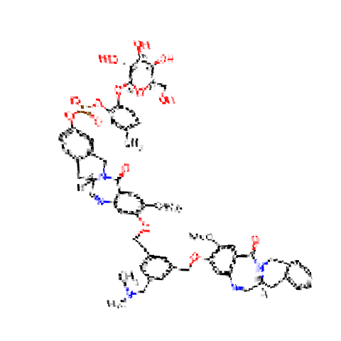 COc1cc2c(cc1OCc1cc(COc3cc4c(cc3OC)C(=O)N3Cc5cc(OS(=O)(=O)Oc6cc(C)ccc6O[C@@H]6O[C@H](CO)[C@H](O)[C@H](O)[C@H]6O)ccc5C[C@H]3C=N4)cc(CN(C)C)c1)N=C[C@@H]1Cc3ccccc3CN1C2=O